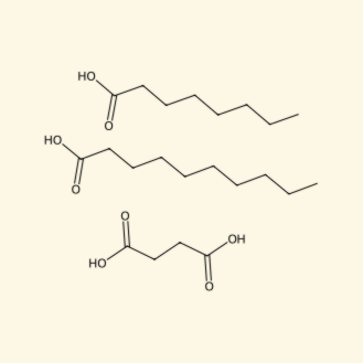 CCCCCCCC(=O)O.CCCCCCCCCC(=O)O.O=C(O)CCC(=O)O